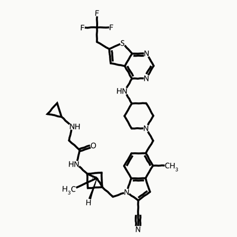 Cc1c(CN2CCC(Nc3ncnc4sc(CC(F)(F)F)cc34)CC2)ccc2c1cc(C#N)n2CC12CC(NC(=O)CNC3CC3)(C1)[C@H]2C